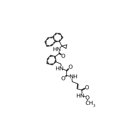 CONC(=O)/C=C/CNC(=O)C(=O)NCc1ccccc1C(=O)NC1(c2cccc3ccccc23)CC1